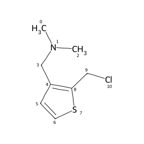 CN(C)Cc1ccsc1CCl